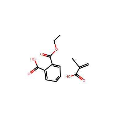 C=C(C)C(=O)O.CCOC(=O)c1ccccc1C(=O)O